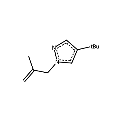 C=C(C)Cn1cc(C(C)(C)C)cn1